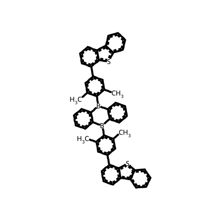 Cc1cc(-c2cccc3c2sc2ccccc23)cc(C)c1B1c2ccccc2B(c2c(C)cc(-c3cccc4c3sc3ccccc34)cc2C)c2ccccc21